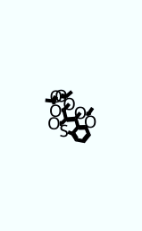 CC(=O)Oc1c(C(OC(C)=O)OC(C)=O)c(=O)sc2ccccc12